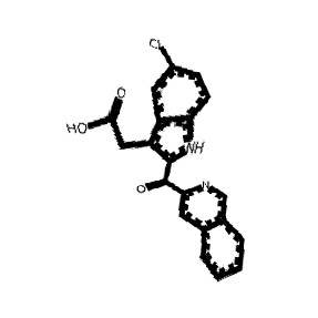 O=C(O)Cc1c(C(=O)c2cc3ccccc3cn2)[nH]c2ccc(Cl)cc12